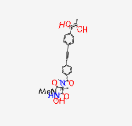 CNC(=O)[C@@](C)(C(=O)NO)N(C)C(=O)c1ccc(C#Cc2ccc([C@H](O)[C@@H](C)O)cc2)cc1